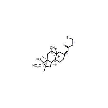 CC/C=C\C(=O)/C=C1/CC[C@H]2[C@H]3C[C@@H](C)[C@](O)(C(=O)O)[C@@]3(C)C[C@H](O)[C@]2(F)C1